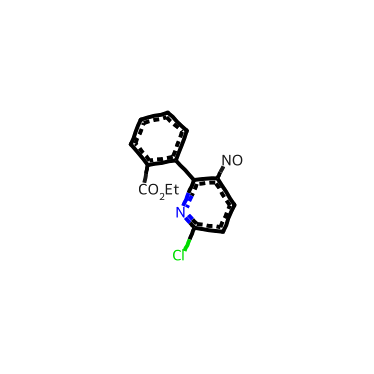 CCOC(=O)c1ccccc1-c1nc(Cl)ccc1N=O